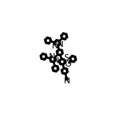 N#Cc1ccc(-c2ccc(-c3ccc(-c4nc(-c5ccccc5)cc(-c5ccccc5)n4)cc3-c3nc(-c4ccccc4)cc(-c4ccccc4)n3)c3c2Oc2ccccc2S3)cc1